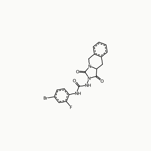 O=C(Nc1ccc(Br)cc1F)NN1C(=O)C2Cc3ccccc3CN2C1=O